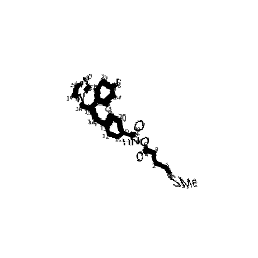 CSCCCC(=O)ONC(=O)c1ccc(C=C(Cn2ccnc2)c2ccc(F)cc2)cc1